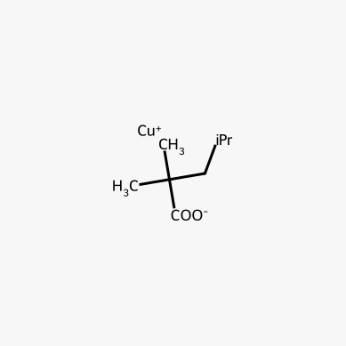 CC(C)CC(C)(C)C(=O)[O-].[Cu+]